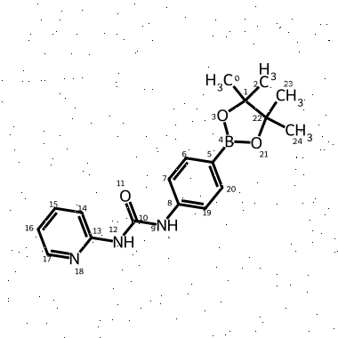 CC1(C)OB(c2ccc(NC(=O)Nc3ccccn3)cc2)OC1(C)C